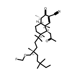 CCC(C)(C)CC[C@@](C)(CCC(C)(C)[C@]1(C)CC[C@H]2[C@H](C)C(=O)C(C#N)=C[C@]2(C)[C@H]1CC(C)=O)COCF